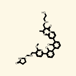 COc1nc(-c2cccc(-c3cccc(-c4ccn5c(=O)c(CNCCO)c(C)nc5c4)c3Cl)c2Cl)ccc1CNC[C@@H]1CCC(=O)N1